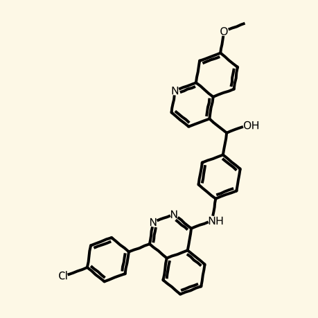 COc1ccc2c(C(O)c3ccc(Nc4nnc(-c5ccc(Cl)cc5)c5ccccc45)cc3)ccnc2c1